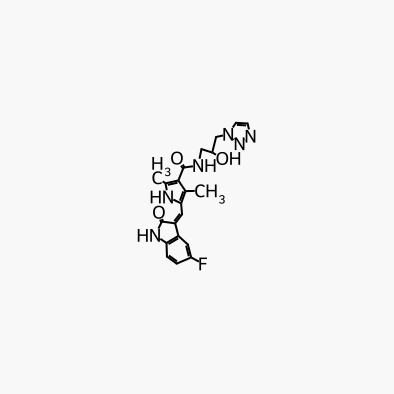 Cc1[nH]c(C=C2C(=O)Nc3ccc(F)cc32)c(C)c1C(=O)NCC(O)Cn1ccnn1